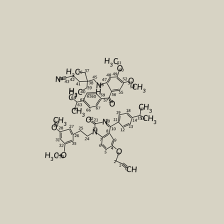 C#CCOc1ccc2c(c1)c(-c1ccc(C(C)C)cc1)nc(=O)n2CCc1cc(OC)cc(OC)c1.CCC(CC)(CCC#N)CNc1cc(OC)c(OC)cc1C(=O)c1ccc(C(C)C)cc1